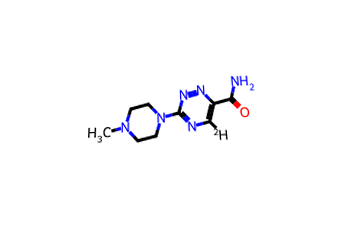 [2H]c1nc(N2CCN(C)CC2)nnc1C(N)=O